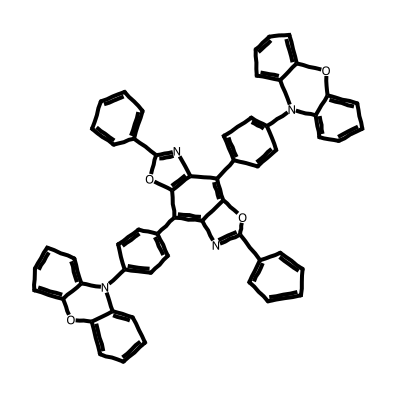 c1ccc(-c2nc3c(-c4ccc(N5c6ccccc6Oc6ccccc65)cc4)c4oc(-c5ccccc5)nc4c(-c4ccc(N5c6ccccc6Oc6ccccc65)cc4)c3o2)cc1